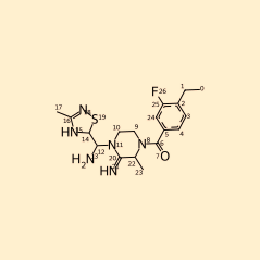 CCc1ccc(C(=O)N2CCN(C(N)C3NC(C)=NS3)C(=N)C2C)cc1F